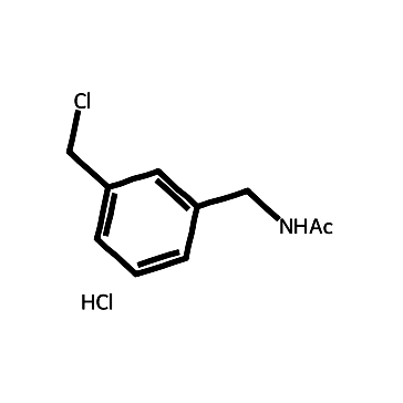 CC(=O)NCc1cccc(CCl)c1.Cl